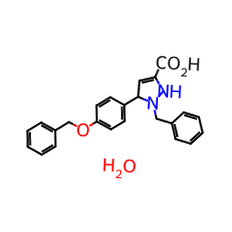 O.O=C(O)C1=CC(c2ccc(OCc3ccccc3)cc2)N(Cc2ccccc2)N1